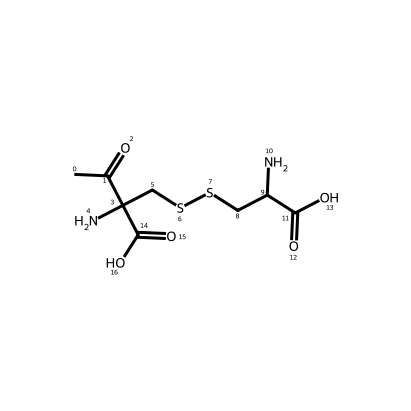 CC(=O)C(N)(CSSCC(N)C(=O)O)C(=O)O